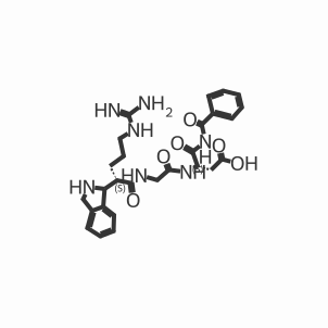 N=C(N)NCCC[C@H](C(=O)NCC(=O)N[C@@H](CC(=O)O)C(=O)NC(=O)c1ccccc1)C1NCc2ccccc21